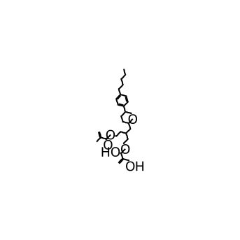 C=C(C)C(=O)OCCC(CCOC(O)C(=C)CO)CC1CCC(c2ccc(CCCCC)cc2)CO1